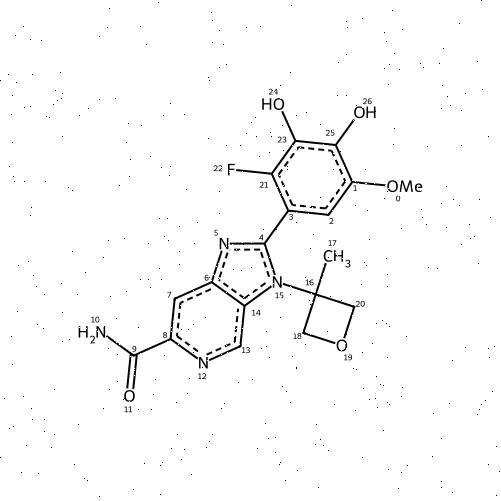 COc1cc(-c2nc3cc(C(N)=O)ncc3n2C2(C)COC2)c(F)c(O)c1O